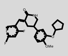 COc1ccc(C2CNC(=O)C(=Cc3ccc(F)cc3F)C2)cc1OC1CCCC1